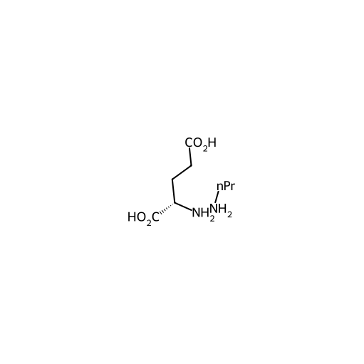 CCCN.N[C@@H](CCC(=O)O)C(=O)O